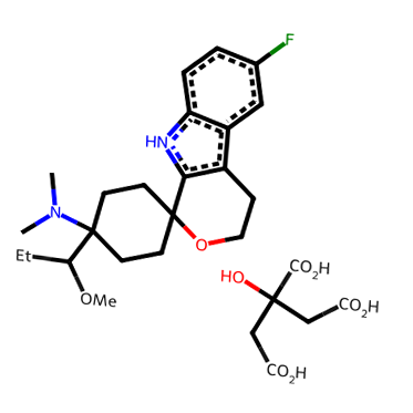 CCC(OC)C1(N(C)C)CCC2(CC1)OCCc1c2[nH]c2ccc(F)cc12.O=C(O)CC(O)(CC(=O)O)C(=O)O